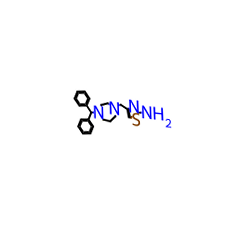 Nc1nc(CN2CCCN(C(c3ccccc3)c3ccccc3)CC2)cs1